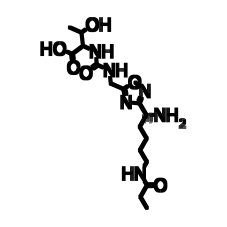 CCC(=O)NCCCC[C@H](N)c1noc(CNC(=O)NC(C(=O)O)C(C)O)n1